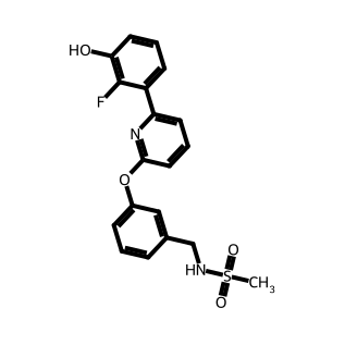 CS(=O)(=O)NCc1cccc(Oc2cccc(-c3cccc(O)c3F)n2)c1